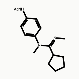 CN=C(C1CCCC1)N(C)c1ccc(NC(C)=O)cc1